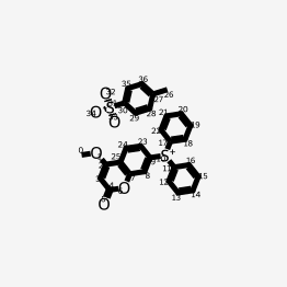 COc1cc(=O)oc2cc([S+](c3ccccc3)c3ccccc3)ccc12.Cc1ccc(S(=O)(=O)[O-])cc1